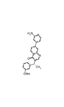 COc1cccc([C@@H](C)n2cnc3cc(-c4ccnc(N)c4)ccc3c2=O)c1